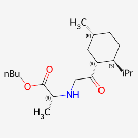 CCCCOC(=O)[C@@H](C)NCC(=O)[C@@H]1C[C@H](C)CC[C@H]1C(C)C